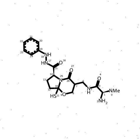 CN[C@@H](N)C(=O)NCC1COC2(S)CC[C@@H](C(=O)NNc3ccccc3)N2C1=O